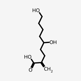 C=C(CCC(O)CCCCO)C(=O)O